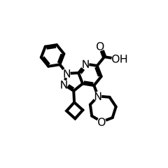 O=C(O)c1cc(N2CCCOCC2)c2c(C3CCC3)nn(-c3ccccc3)c2n1